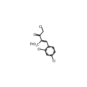 CCOC(=O)/C(=C\c1ccc(Cl)cc1Cl)C(=O)CCl